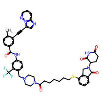 Cc1ccc(C(=O)Nc2ccc(CN3CCN(C(=O)CCCCCCSc4cccc5c4CN(C4CCC(=O)NC4=O)C5=O)CC3)c(C(F)(F)F)c2)cc1C#Cc1cnc2cccnn12